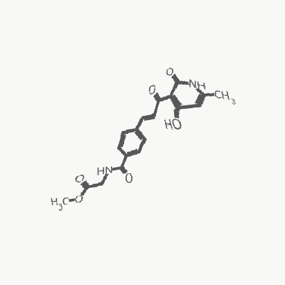 COC(=O)CNC(=O)c1ccc(C=CC(=O)c2c(O)cc(C)[nH]c2=O)cc1